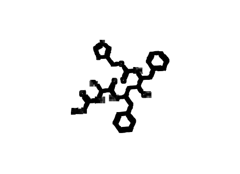 CNC(=O)N[C@H](C(=O)NC(Cc1ccccc1)CC(O)C(Cc1ccccc1)NC(=O)OCc1cncs1)C(C)C